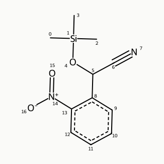 C[Si](C)(C)OC(C#N)c1ccccc1[N+](=O)[O-]